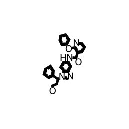 O=CCC(c1ccccc1)n1cnc2cc(NC(=O)c3cccnc3Oc3ccccc3)ccc21